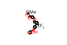 COC(=O)C[C@@H]1COc2cc(O[C@@H]3CCc4c3ccc(C(F)(F)F)c4-c3ccc(OCC4(O)CCOCC4)cc3)ccc21